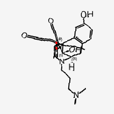 CN(C)CCCN1CC[C@]23CC(=O)NC(=O)NCCC[C@@]2(O)[C@H]1Cc1ccc(O)cc13